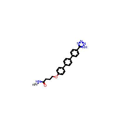 CCCNC(=O)CCCOc1ccc(-c2ccc(-c3ccc(-c4nnn[nH]4)cc3)cc2)cc1